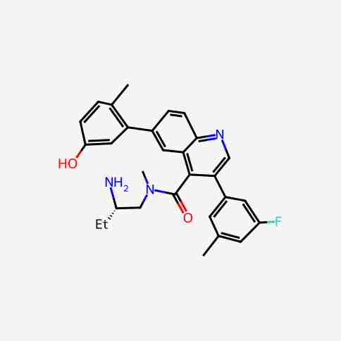 CC[C@H](N)CN(C)C(=O)c1c(-c2cc(C)cc(F)c2)cnc2ccc(-c3cc(O)ccc3C)cc12